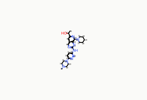 CC(O)c1cc2cnc(Nc3ccc(N4CCN(C)CC4)nn3)nc2c(N2CCCCC2)n1